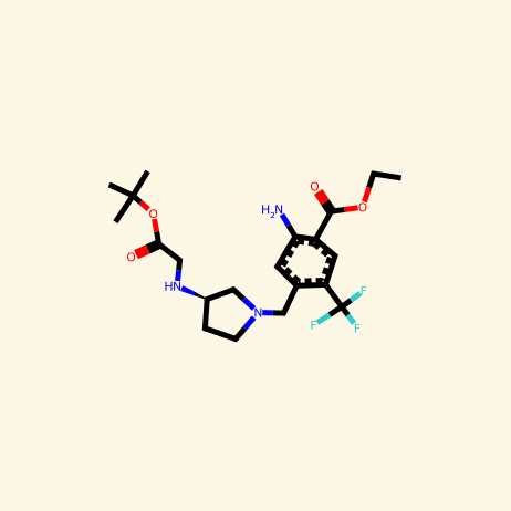 CCOC(=O)c1cc(C(F)(F)F)c(CN2CC[C@@H](NCC(=O)OC(C)(C)C)C2)cc1N